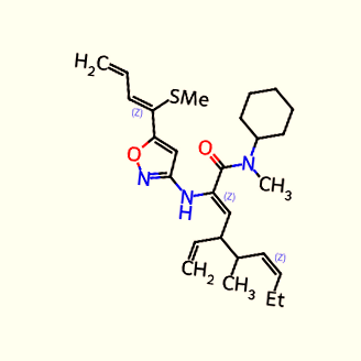 C=C/C=C(\SC)c1cc(N/C(=C\C(C=C)C(C)/C=C\CC)C(=O)N(C)C2CCCCC2)no1